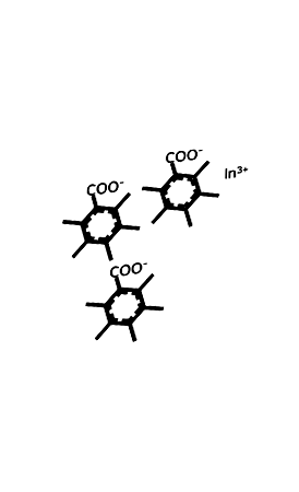 Cc1c(C)c(C)c(C(=O)[O-])c(C)c1C.Cc1c(C)c(C)c(C(=O)[O-])c(C)c1C.Cc1c(C)c(C)c(C(=O)[O-])c(C)c1C.[In+3]